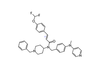 CN(c1ccncc1)c1ccc(CN(C(=O)/C=C/c2ccc(OC(F)F)cc2)C2CCN(Cc3ccccc3)CC2)cc1